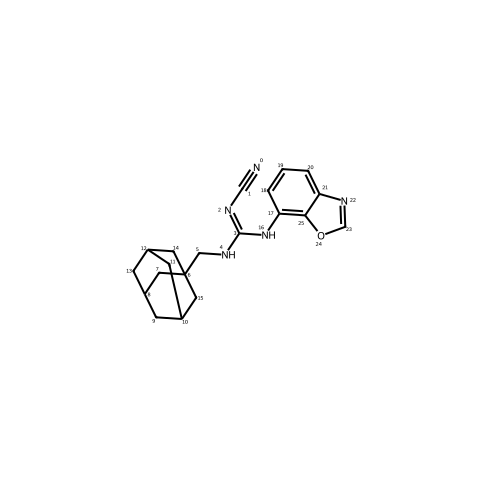 N#CN=C(NCC12CC3CC(CC(C3)C1)C2)Nc1cccc2ncoc12